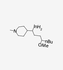 CCCCC(CC[CH]([InH2])C1CCN(C)CC1)OC